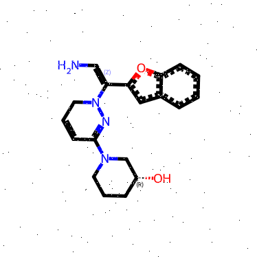 N/C=C(/c1cc2ccccc2o1)N1CC=CC(N2CCC[C@@H](O)C2)=N1